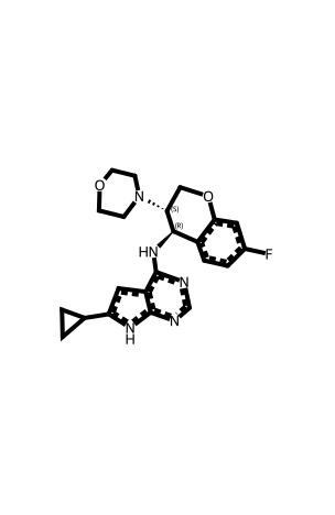 Fc1ccc2c(c1)OC[C@@H](N1CCOCC1)[C@@H]2Nc1ncnc2[nH]c(C3CC3)cc12